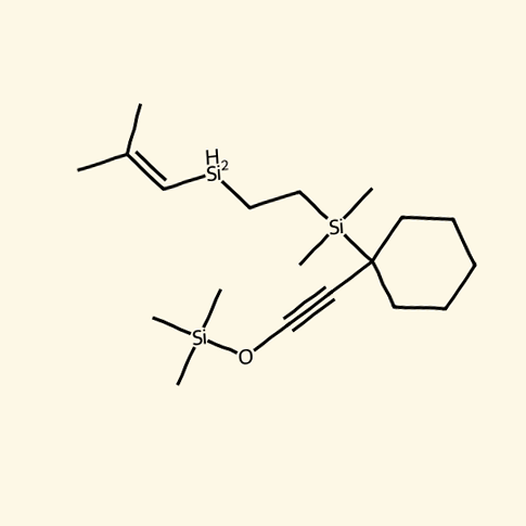 CC(C)=C[SiH2]CC[Si](C)(C)C1(C#CO[Si](C)(C)C)CCCCC1